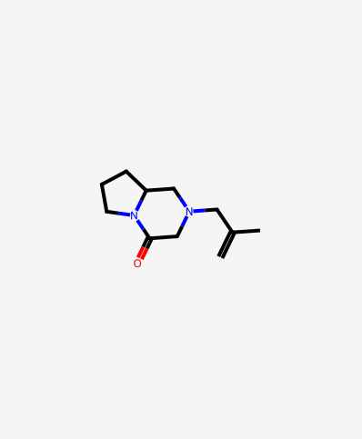 C=C(C)CN1CC(=O)N2CCCC2C1